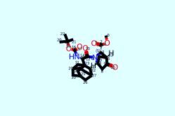 COC(=O)[C@@H]1[C@@H]2C[C@@H](CC2=O)N1C(=O)[C@@H](NC(=O)OC(C)(C)C)C12CC3CC(CC(C3)C1)C2